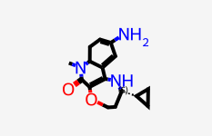 CN1C(=O)C2=C(N[C@H](C3CC3)CCO2)C2=CC(N)=CCC21